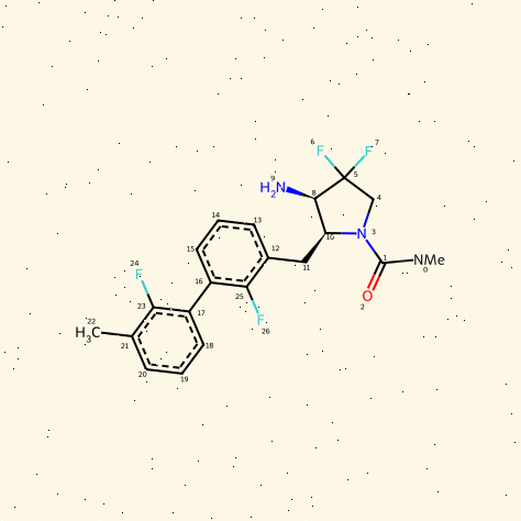 CNC(=O)N1CC(F)(F)[C@H](N)[C@@H]1Cc1cccc(-c2cccc(C)c2F)c1F